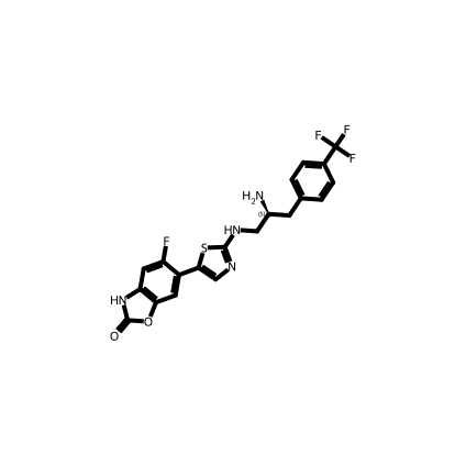 N[C@H](CNc1ncc(-c2cc3oc(=O)[nH]c3cc2F)s1)Cc1ccc(C(F)(F)F)cc1